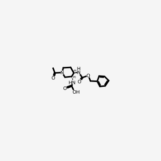 CC(=O)N1CC[C@@H](NC(=O)OCc2ccccc2)[C@H](NC(=O)O)C1